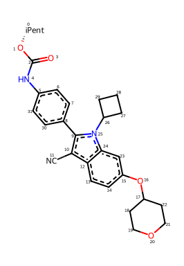 CCC[C@@H](C)OC(=O)Nc1ccc(-c2c(C#N)c3ccc(OC4CCOCC4)cc3n2C2CCC2)cc1